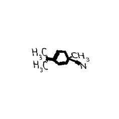 CC(C)C1=CC[C@](C)(C#N)C=C1